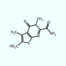 Cc1c(C(=O)O)sc2nc(C(N)=O)n(C)c(=O)c12